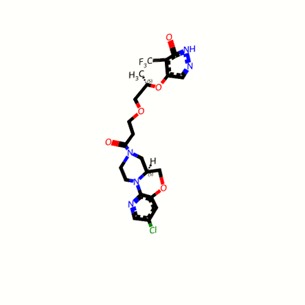 C[C@@H](COCCC(=O)N1CCN2c3ncc(Cl)cc3OC[C@@H]2C1)Oc1cn[nH]c(=O)c1C(F)(F)F